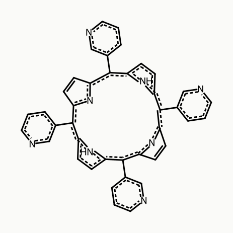 C1=Cc2nc1c(-c1cccnc1)c1ccc([nH]1)c(-c1cccnc1)c1nc(c(-c3cccnc3)c3ccc([nH]3)c2-c2cccnc2)C=C1